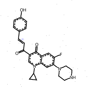 O=C(/C=C/c1ccc(O)cc1)c1cn(C2CC2)c2cc(N3CCNCC3)c(F)cc2c1=O